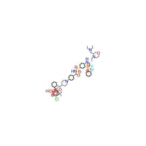 CCN(CC)C[C@H]1COCCN1CC[C@H](CSc1ccccc1)Nc1ccc(S(=O)(=O)NC(=O)c2ccc(N3CCC(C(OC(OP(=O)(O)O)(C(C)(C)C)C(C)(C)C)c4ccccc4-c4ccc(Cl)cc4)CC3)cc2)cc1S(=O)(=O)C(F)(F)F